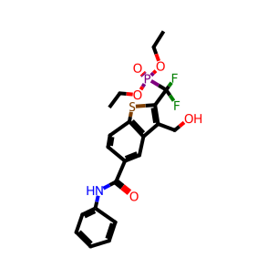 CCOP(=O)(OCC)C(F)(F)c1sc2ccc(C(=O)Nc3ccccc3)cc2c1CO